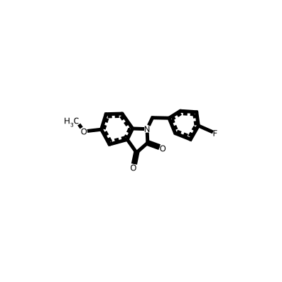 COc1ccc2c(c1)C(=O)C(=O)N2Cc1ccc(F)cc1